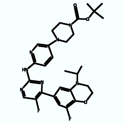 CC(C)N1CCOc2c(F)cc(-c3nc(Nc4ccc(N5CCN(C(=O)OC(C)(C)C)CC5)cn4)ncc3F)cc21